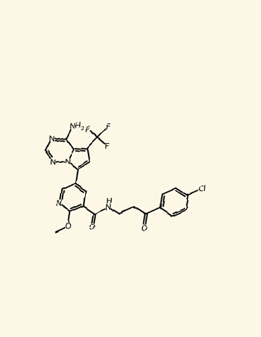 COc1ncc(-c2cc(C(F)(F)F)c3c(N)ncnn23)cc1C(=O)NCCC(=O)c1ccc(Cl)cc1